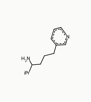 CC(C)C(N)CCCc1cccnc1